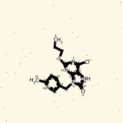 CCCSc1nc(Cl)c2[nH]c(=O)n(Cc3ccc(C)nc3)c2n1